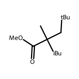 CCC(C)C(C)(CC(C)(C)C)C(=O)OC